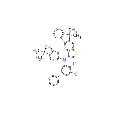 CC(C)(C)c1ccc(N(c2cc(-c3ccccc3)cc(Cl)c2Cl)c2csc3cc4c(cc23)-c2ccccc2C4(C)C)cc1